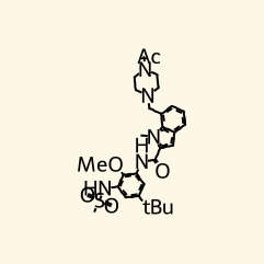 COc1c(NC(=O)c2cc3cccc(CN4CCN(C(C)=O)CC4)c3n2C)cc(C(C)(C)C)cc1NS(C)(=O)=O